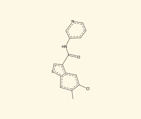 Cc1cc2scc(C(=O)Nc3cccnc3)c2cc1Cl